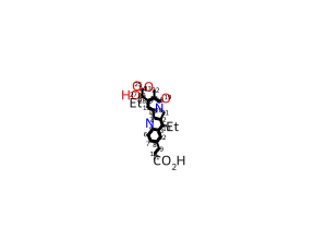 CCc1c2c(nc3ccc(C=CC(=O)O)cc13)-c1cc3c(c(=O)n1C2)COC(=O)[C@]3(O)CC